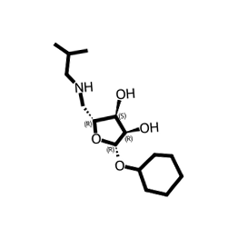 CC(C)CNC[C@H]1O[C@@H](OC2CCCCC2)[C@H](O)[C@@H]1O